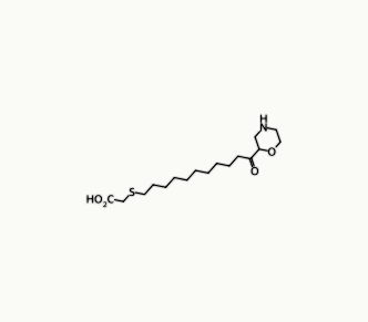 O=C(O)CSCCCCCCCCCCC(=O)C1CNCCO1